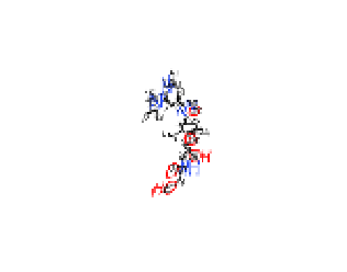 CCc1cc(-c2nc(-c3cc(C)nc(N(C)C(C)C)c3)no2)cc(C)c1OC[C@@H](O)CNC(=O)CO